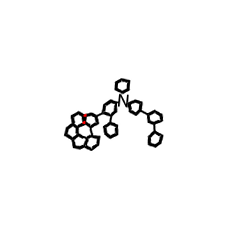 c1ccc(-c2cccc(-c3ccc(N(c4ccccc4)c4ccc(-c5cccc(-c6cccc7ccc8ccc9ccccc9c8c67)c5)c(-c5ccccc5)c4)cc3)c2)cc1